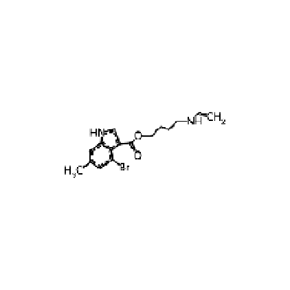 C=CNCCCCOC(=O)c1c[nH]c2cc(C)cc(Br)c12